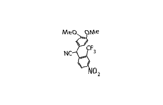 COc1ccc(C(C#N)c2ccc([N+](=O)[O-])cc2C(F)(F)F)cc1OC